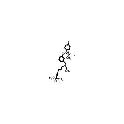 CCN(C/C=C/C#CC(C)(C)C)Cc1cccc(OC(c2ccc(F)cc2)[SiH](C)C)c1